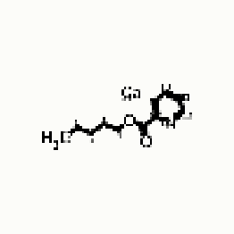 CCCCCOC(=O)c1ccccn1.[Ca]